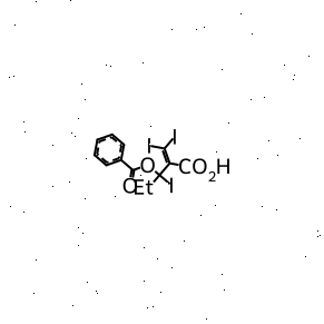 CCC(I)(OC(=O)c1ccccc1)C(C(=O)O)=C(I)I